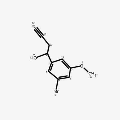 COc1cc(Br)cc(C(O)CC#N)c1